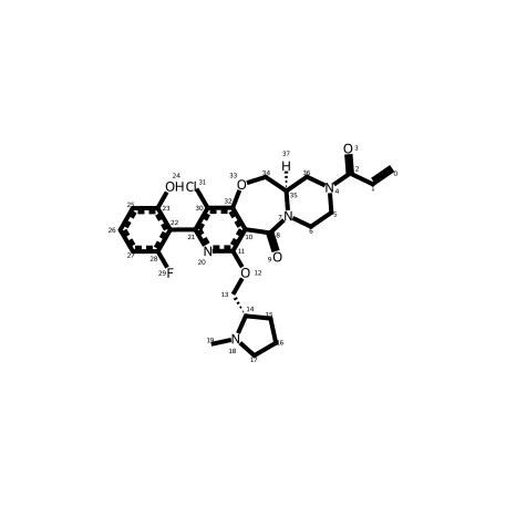 C=CC(=O)N1CCN2C(=O)c3c(OC[C@@H]4CCCN4C)nc(-c4c(O)cccc4F)c(Cl)c3OC[C@H]2C1